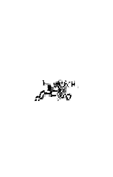 CC(C)CN(CC(O)C(=O)O)C(=O)N[C@H](C(=O)OCc1ccccc1)c1ccc(-c2ccc3ccccc3c2)cc1